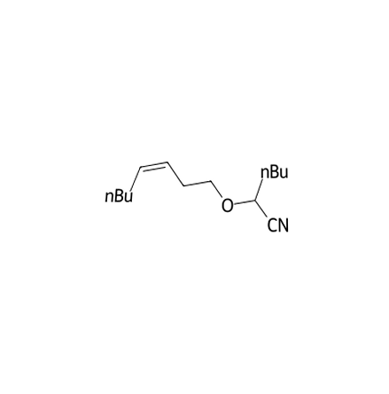 CCCC/C=C\CCOC(C#N)CCCC